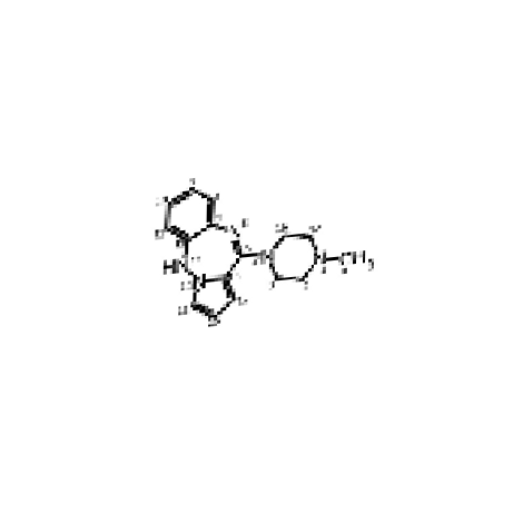 CN1CCN(C2=Nc3ccccc3Nn3cccc32)CC1